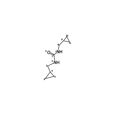 O=C(NCC1CC1)NCC1CC1